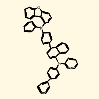 c1ccc(-c2ccc(N(c3ccccc3)c3ccc(-c4ccc(N(c5ccccc5)c5cccc6oc7ccccc7c56)cc4)c4ccccc34)cc2)cc1